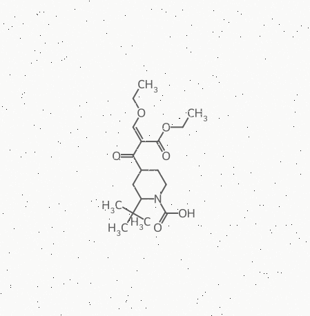 CCOC=C(C(=O)OCC)C(=O)C1CCN(C(=O)O)C(C(C)(C)C)C1